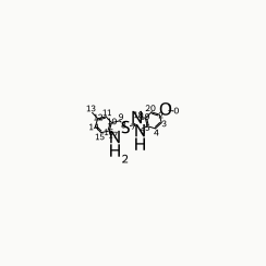 COc1ccc2[nH]c(SCc3cc(C)ccc3N)nc2c1